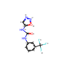 O=C(Nc1cccc(C(F)(F)F)c1)Nc1cnno1